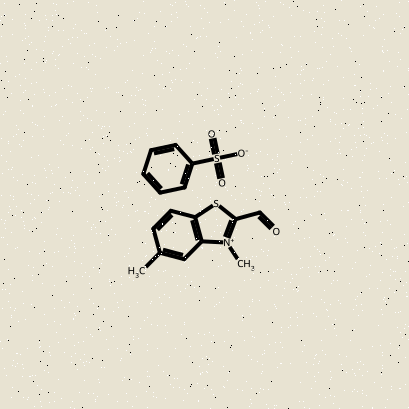 Cc1ccc2sc(C=O)[n+](C)c2c1.O=S(=O)([O-])c1ccccc1